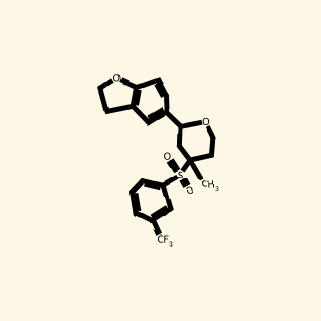 CC1(S(=O)(=O)c2cccc(C(F)(F)F)c2)CCOC(c2ccc3c(c2)CCO3)C1